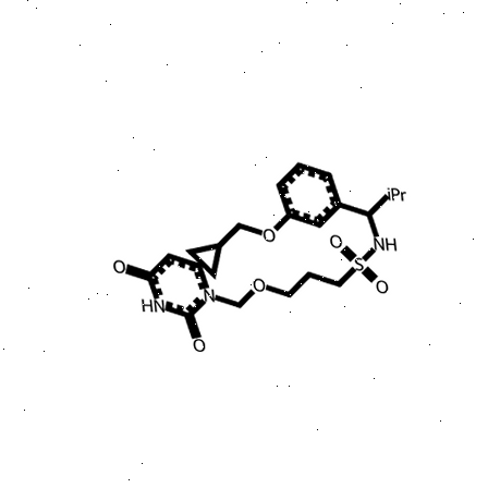 CC(C)C(NS(=O)(=O)CCCOCn1ccc(=O)[nH]c1=O)c1cccc(OCC2CC2)c1